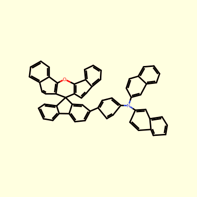 c1ccc2c(c1)-c1ccc(-c3ccc(N(c4ccc5ccccc5c4)c4ccc5ccccc5c4)cc3)cc1C21c2ccc3ccccc3c2Oc2c1ccc1ccccc21